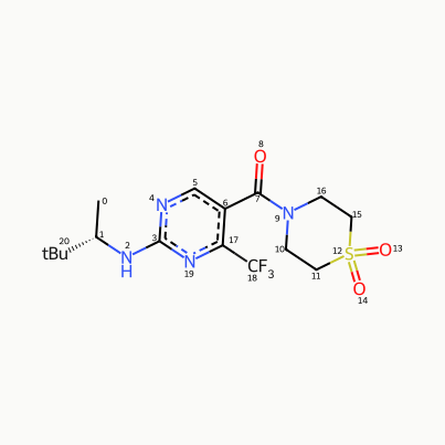 C[C@H](Nc1ncc(C(=O)N2CCS(=O)(=O)CC2)c(C(F)(F)F)n1)C(C)(C)C